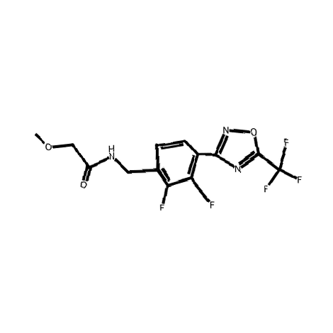 COCC(=O)NCc1ccc(-c2noc(C(F)(F)F)n2)c(F)c1F